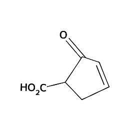 O=C(O)C1CC=CC1=O